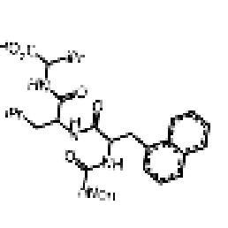 CCCCCCCCCC(=O)NC(Cc1cccc2ccccc12)C(=O)NC(CC(C)C)C(=O)NC(C(=O)O)C(C)C